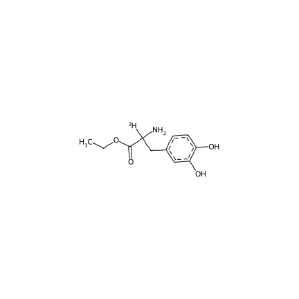 [2H]C(N)(Cc1ccc(O)c(O)c1)C(=O)OCC